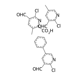 Cc1cc(C=O)c(Cl)nc1C(=O)O.Cc1cnc(Cl)c(C=O)c1.O=Cc1cc(-c2ccccc2)cnc1Cl